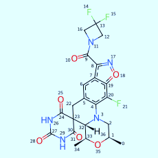 C[C@@H]1CN2c3c(cc4c(C(=O)N5CC(F)(F)C5)noc4c3F)CC3(C(=O)NC(=O)NC3=O)[C@H]2[C@H](C)O1